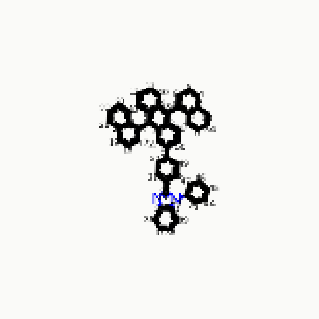 C1=Cc2c(cccc2-c2c3ccccc3c(-c3cccc4ccccc34)c3cc(-c4ccc(-c5nc6ccccc6n5-c5ccccc5)cc4)ccc23)CC1